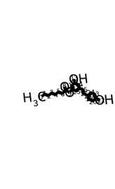 C/C=C/C=C/C=C/C(=O)Oc1cc(O)cc(/C=C/c2ccc(O)cc2)c1